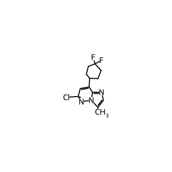 Cc1cnc2c(C3CCC(F)(F)CC3)cc(Cl)nn12